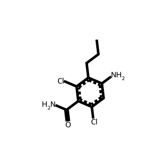 CCCc1c(N)cc(Cl)c(C(N)=O)c1Cl